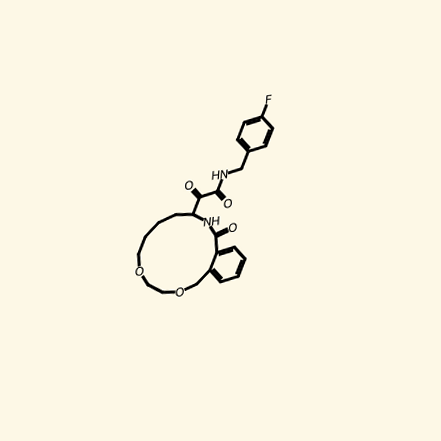 O=C(NCc1ccc(F)cc1)C(=O)C1CCCCOCCOCc2ccccc2C(=O)N1